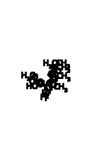 COC(=O)c1ccc(C2CN(CC(F)(F)F)CCN2Cc2c(OC)cc(C)c3c2ccn3C(=O)OC(C)(C)C)cc1O